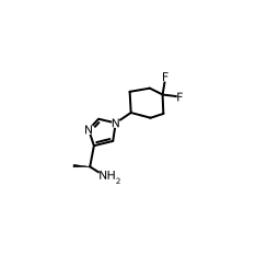 C[C@H](N)c1cn(C2CCC(F)(F)CC2)cn1